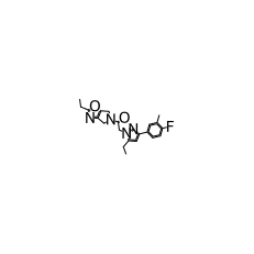 CCc1nc2c(o1)CN(C(=O)Cn1nc(-c3ccc(F)c(C)c3)cc1CC)C2